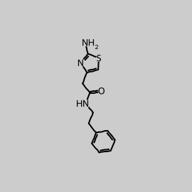 Nc1nc(CC(=O)NCCc2ccccc2)cs1